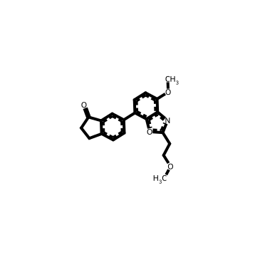 COCCc1nc2c(OC)ccc(-c3ccc4c(c3)C(=O)CC4)c2o1